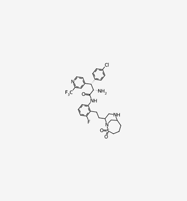 N[C@H](C(=O)Nc1cccc(F)c1CCC1CNC2CCCS(=O)(=O)N1C2)[C@@H](c1ccc(Cl)cc1)c1ccnc(C(F)(F)F)c1